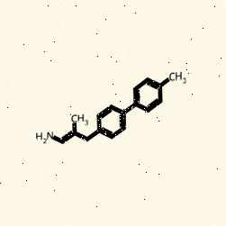 C/C(=C\N)Cc1ccc(-c2ccc(C)cc2)cc1